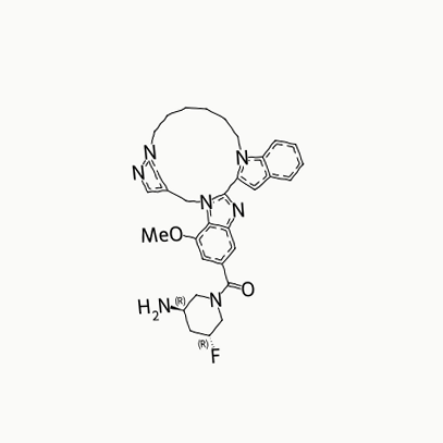 COc1cc(C(=O)N2C[C@H](N)C[C@@H](F)C2)cc2nc3n(c12)Cc1cnn(c1)CCCCCCn1c-3cc2ccccc21